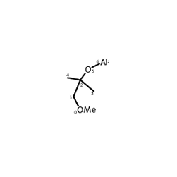 COCC(C)(C)[O][Al]